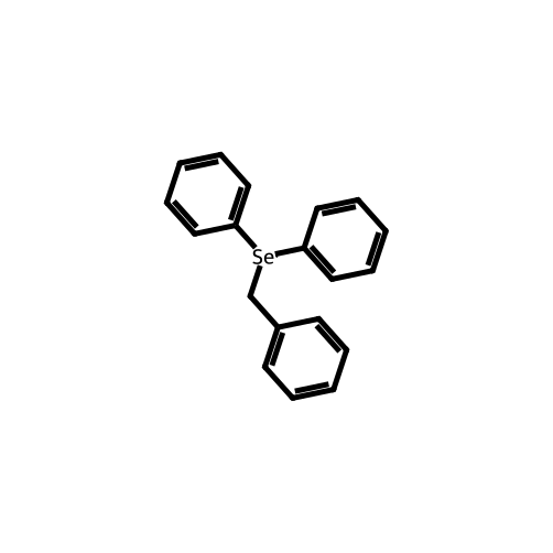 c1ccc(C[Se](c2ccccc2)c2ccccc2)cc1